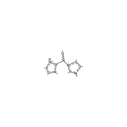 O=C(c1ncc[nH]1)n1ccnc1